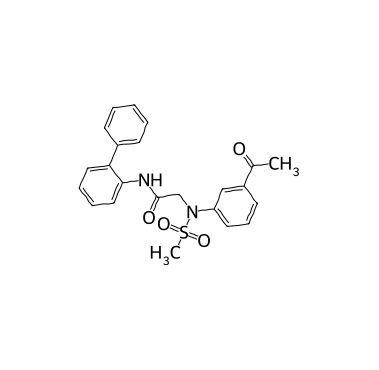 CC(=O)c1cccc(N(CC(=O)Nc2ccccc2-c2ccccc2)S(C)(=O)=O)c1